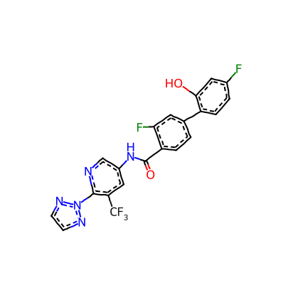 O=C(Nc1cnc(-n2nccn2)c(C(F)(F)F)c1)c1ccc(-c2ccc(F)cc2O)cc1F